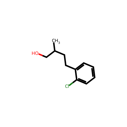 CC(CO)CCc1ccccc1Cl